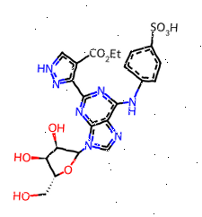 CCOC(=O)c1c[nH]nc1-c1nc(Nc2ccc(S(=O)(=O)O)cc2)c2ncn(C3O[C@H](CO)[C@@H](O)[C@H]3O)c2n1